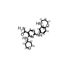 NC(=O)c1cnc(Nc2ccc3c(c2)NCCCO3)nc1NC1CCOCC1